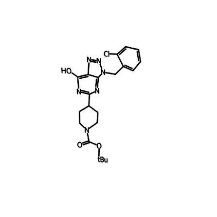 CC(C)(C)OC(=O)N1CCC(c2nc(O)c3nnn(Cc4ccccc4Cl)c3n2)CC1